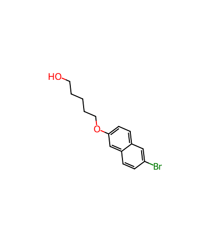 OCCCCCOc1ccc2cc(Br)ccc2c1